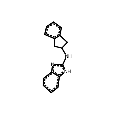 c1ccc2c(c1)CC(Nc1nc3ccccc3[nH]1)C2